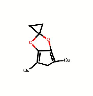 CC(C)(C)C1=C2OC3(CC3)OC2=C(C(C)(C)C)C1